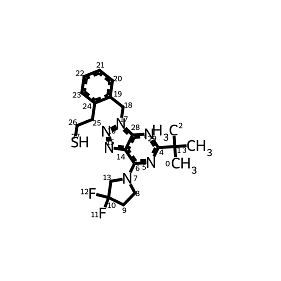 CC(C)(C)c1nc(N2CCC(F)(F)C2)c2nnn(Cc3ccccc3CCS)c2n1